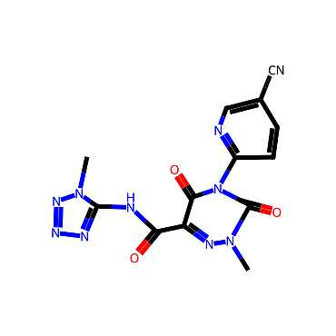 Cn1nnnc1NC(=O)c1nn(C)c(=O)n(-c2ccc(C#N)cn2)c1=O